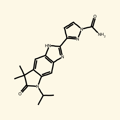 CC(C)N1C(=O)C(C)(C)c2cc3[nH]c(-c4[c]cn(C(N)=O)n4)nc3cc21